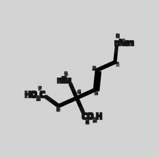 CCCCCCCCCCC=CC(CCCC)(CC(=O)O)C(=O)O